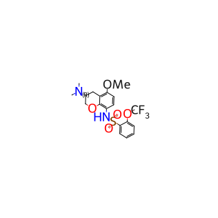 COc1ccc(NS(=O)(=O)c2ccccc2OC(F)(F)F)c2c1C[C@@H](N(C)C)CO2